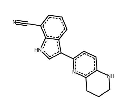 N#Cc1cccc2c(-c3ccc4c(n3)CCCN4)c[nH]c12